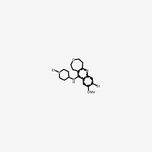 CCc1cc2nc3c(c(NC4CCN(CC)CC4)c2cc1OC)CCOCC3